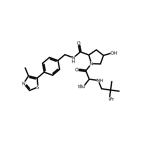 Cc1ncsc1-c1ccc(CNC(=O)C2CC(O)CN2C(=O)C(NCC(C)(C)C(C)C)C(C)(C)C)cc1